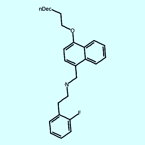 CCCCCCCCCCCCOc1ccc(C[N]CCc2ccccc2F)c2ccccc12